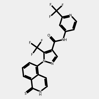 O=C(Nc1ccnc(C(F)(F)F)c1)c1cnn(-c2cccc3c(=S)[nH]ccc23)c1C(F)(F)F